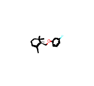 CC1CCCC(C)(C)[C@H]1COc1cccc(F)c1